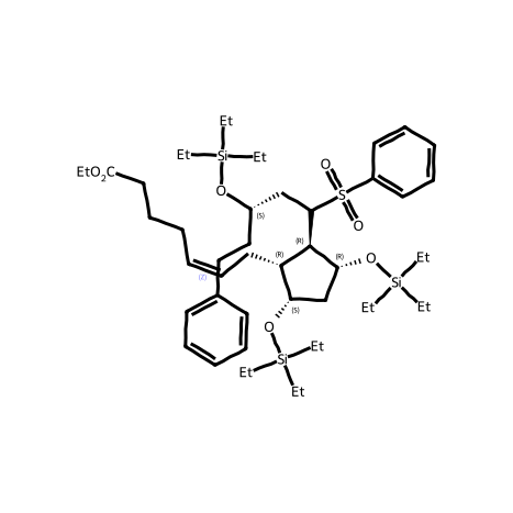 CCOC(=O)CCC/C=C\C[C@@H]1[C@@H](C(C[C@H](CCc2ccccc2)O[Si](CC)(CC)CC)S(=O)(=O)c2ccccc2)[C@H](O[Si](CC)(CC)CC)C[C@@H]1O[Si](CC)(CC)CC